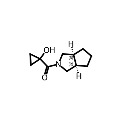 O=C(N1C[C@H]2CCC[C@H]2C1)C1(O)CC1